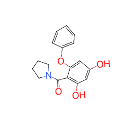 O=C(c1c(O)cc(O)cc1Oc1ccccc1)N1CCCC1